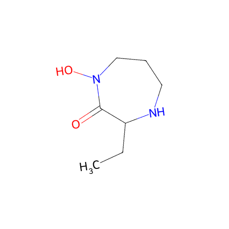 CCC1NCCCN(O)C1=O